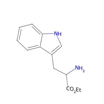 CCOC(=O)C(N)Cc1c[nH]c2ccccc12